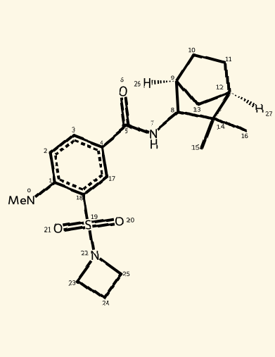 CNc1ccc(C(=O)NC2[C@H]3CC[C@H](C3)C2(C)C)cc1S(=O)(=O)N1CCC1